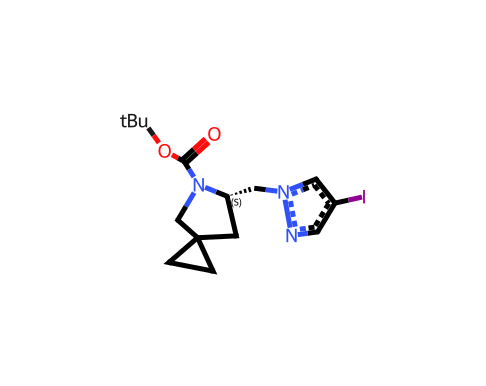 CC(C)(C)OC(=O)N1CC2(CC2)C[C@H]1Cn1cc(I)cn1